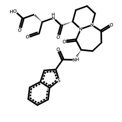 O=C[C@H](CC(=O)O)NC(=O)[C@@H]1CCCN2C(=O)CC[C@H](NC(=O)c3cc4ccccc4s3)C(=O)N12